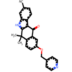 CC1(C)c2ccc(OCc3ccncc3)cc2C(=O)c2c1[nH]c1cc(C#N)ccc21